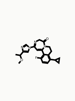 COC(C)c1cn(C2=NCC(=O)N3CCc4c(C5CC5)ccc(F)c4C3=C2)cn1